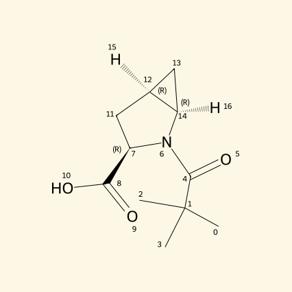 CC(C)(C)C(=O)N1[C@@H](C(=O)O)C[C@H]2C[C@H]21